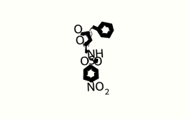 O=C1O[C@H](CNS(=O)(=O)c2ccc([N+](=O)[O-])cc2)C[C@H]1Cc1ccccc1